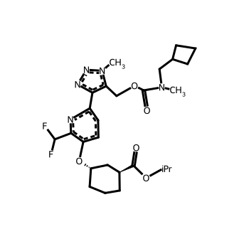 CC(C)OC(=O)[C@H]1CCC[C@H](Oc2ccc(-c3nnn(C)c3COC(=O)N(C)CC3CCC3)nc2C(F)F)C1